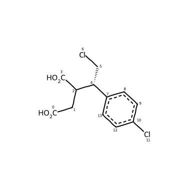 O=C(O)CC(C(=O)O)[C@H](CCl)c1ccc(Cl)cc1